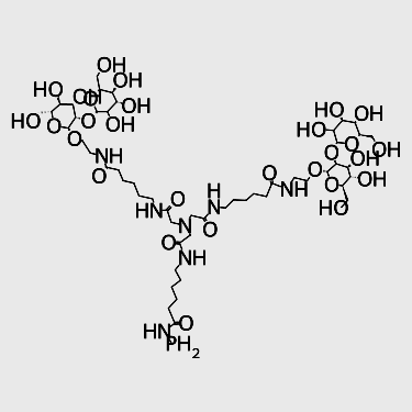 O=C(CCCCCNC(=O)CN(CC(=O)NCCCCCC(=O)NCCO[C@H]1O[C@H](CO)[C@@H](O)[C@H](O)[C@@H]1O[C@H]1O[C@H](CO)[C@@H](O)[C@H](O)C1O)CC(=O)NCCCCCC(=O)NCCO[C@H]1O[C@H](CO)[C@@H](O)C(O)[C@@H]1O[C@H]1OC(CO)[C@@H](O)[C@H](O)C1O)NP